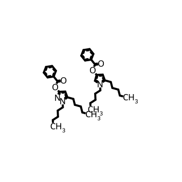 CCCCCc1cc(OC(=O)c2ccccc2)cn1CCCCC.CCCCCc1cc(OC(=O)c2ccccc2)nn1CCCCC